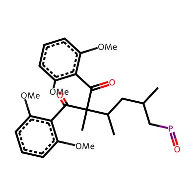 COc1cccc(OC)c1C(=O)C(C)(C(=O)c1c(OC)cccc1OC)C(C)CC(C)CP=O